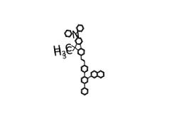 CCC1(CC)c2cc(/C=C/c3ccc(-c4ccc(-c5ccccc5)cc4-c4ccc5ccccc5c4)cc3)ccc2-c2ccc(N(c3ccccc3)c3ccccc3)cc21